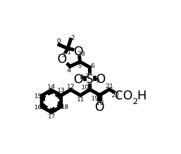 CC1(C)OCC(CS(=O)(=O)C(CCc2ccccc2)C(=O)CC(=O)O)O1